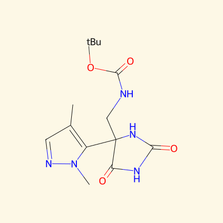 Cc1cnn(C)c1C1(CNC(=O)OC(C)(C)C)NC(=O)NC1=O